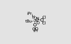 CC(C)CCN1CCC2(CC1)N=C(c1cc(Cl)cc(Cl)c1)C(=O)N2[C@H](CCC(C)(C)C)c1ccc(C(=O)OC(C)C)cc1